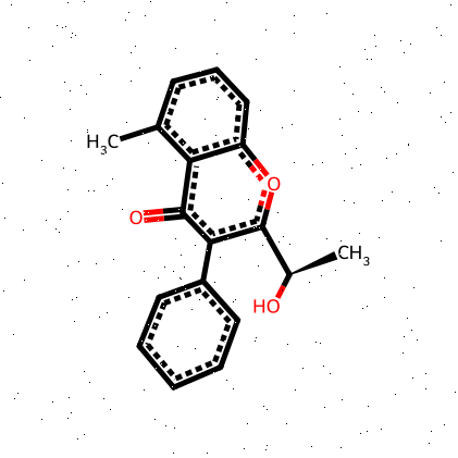 Cc1cccc2oc([C@@H](C)O)c(-c3ccccc3)c(=O)c12